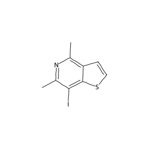 Cc1nc(C)c2ccsc2c1I